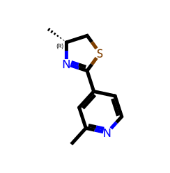 Cc1cc(C2=N[C@H](C)CS2)ccn1